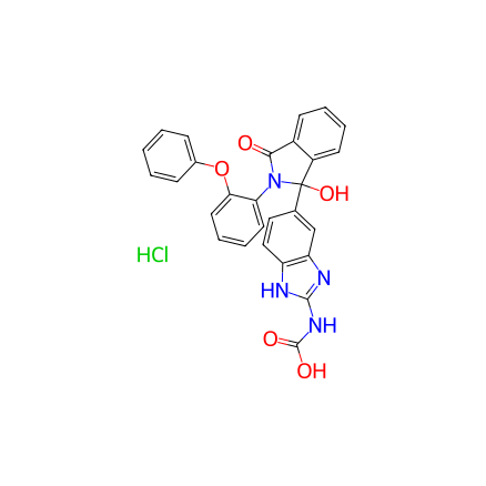 Cl.O=C(O)Nc1nc2cc(C3(O)c4ccccc4C(=O)N3c3ccccc3Oc3ccccc3)ccc2[nH]1